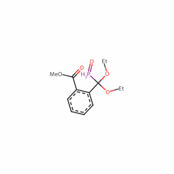 CCOC(OCC)([PH2]=O)c1ccccc1C(=O)OC